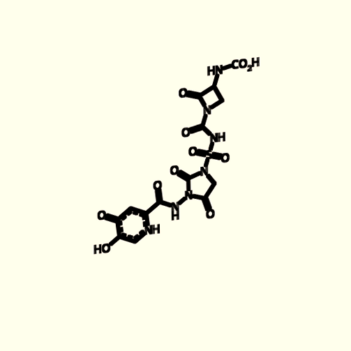 O=C(O)NC1CN(C(=O)NS(=O)(=O)N2CC(=O)N(NC(=O)c3cc(=O)c(O)c[nH]3)C2=O)C1=O